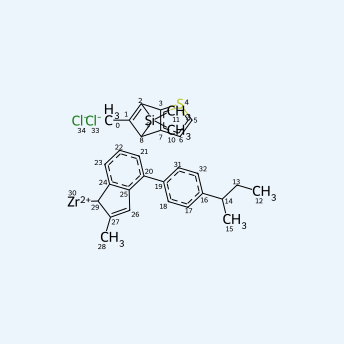 CC1=C2c3sccc3C1[Si]2(C)C.CCC(C)c1ccc(-c2cccc3c2C=C(C)[CH]3[Zr+2])cc1.[Cl-].[Cl-]